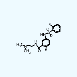 CN(C)CCNC(=O)c1cc(NS(=O)(=O)c2ccccc2F)ccc1F